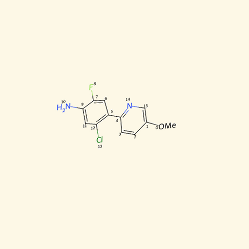 COc1ccc(-c2cc(F)c(N)cc2Cl)nc1